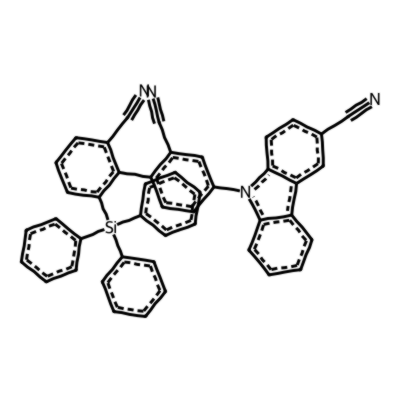 N#Cc1ccc2c(c1)c1ccccc1n2-c1ccc(-c2c(C#N)cccc2[Si](c2ccccc2)(c2ccccc2)c2ccccc2)c(C#N)c1